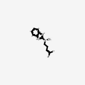 [O-][S+](CCC=C(F)F)c1nc2ccccc2o1